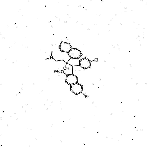 COc1cc2ccc(Br)cc2cc1C(c1ccc(Cl)cc1)C(O)(CCN(C)C)c1cccc2ccccc12